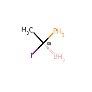 B[C@](C)(P)I